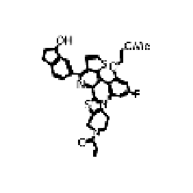 C=CC(=O)N1CCc2nc(-c3nc(-c4ccc5c(c4)C(O)CC5)c4ccsc4c3-c3c(F)cc(F)cc3OCCOC)sc2C1